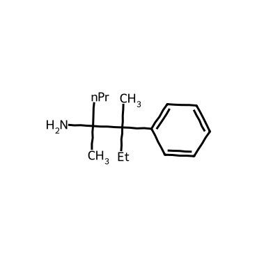 CCCC(C)(N)C(C)(CC)c1ccccc1